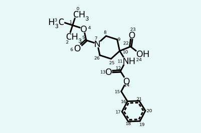 CC(C)(C)OC(=O)N1CCC(NC(=O)OCc2ccccc2)(C(=O)O)CC1